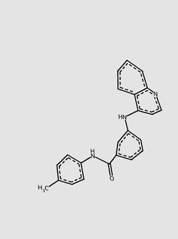 Cc1ccc(NC(=O)c2cccc(Nc3ccnc4ccccc34)c2)cc1